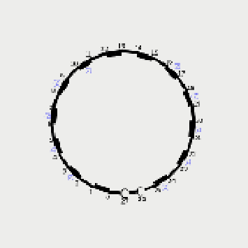 [C]1=C\C=C/C=C\C=C/C=C\C=C/C=CC=C\C=C/C=C\C=C/C=C\C=C/CC1